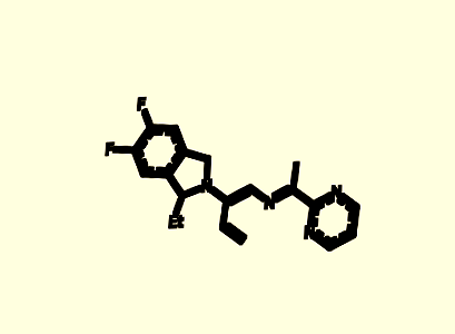 C=C/C(=C\N=C(/C)c1ncccn1)N1Cc2cc(F)c(F)cc2C1CC